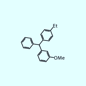 CCc1ccc([C](c2ccccc2)c2cccc(OC)c2)cc1